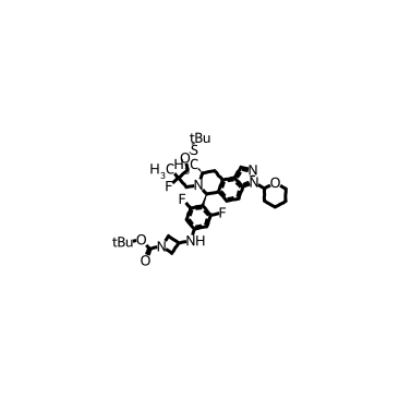 C[C@@H]1Cc2c(ccc3c2cnn3C2CCCCO2)[C@@H](c2c(F)cc(NC3CN(C(=O)OC(C)(C)C)C3)cc2F)N1CC(C)(F)COSC(C)(C)C